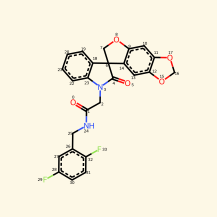 O=C(CN1C(=O)C2(COc3cc4c(cc32)OCO4)c2ccccc21)NCc1cc(F)ccc1F